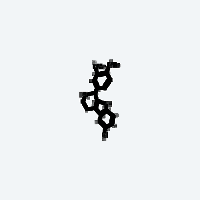 COc1ccc(C2NCCc3c2[nH]c2ccc(Cl)cc32)cc1OC